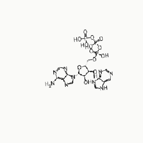 Nc1ncnc2c1ncn2[C@@H]1O[C@H](COP(=O)(O)OP(=O)(O)OP(=O)(O)O)[C@@H](O)[C@H]1O.c1ncc2[nH]cnc2n1